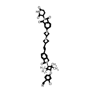 CC1(C)[C@H](Oc2ccc(C#N)c(Cl)c2)C(C)(C)[C@H]1N1Cc2cc(C#CC3CN(C4CN(c5ccc6c(c5)C(=O)N(C5CCC(=O)NC5=O)C6=O)C4)C3)ccc2C1=O